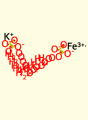 O.O.O.O.O.O.O.O.O.O.O.O.O=S(=O)([O-])[O-].O=S(=O)([O-])[O-].[Fe+3].[K+]